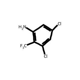 Nc1cc(Cl)cc(Cl)c1C(F)(F)F